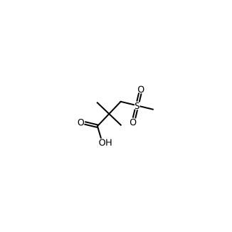 CC(C)(CS(C)(=O)=O)C(=O)O